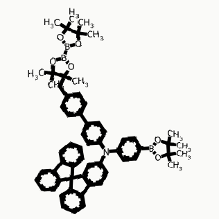 CC1(C)OB(B2OC(C)(C)C(C)(Cc3ccc(-c4ccc(N(c5ccc(B6OC(C)(C)C(C)(C)O6)cc5)c5ccc6c(c5)C5(c7ccccc7-c7ccccc75)c5ccccc5-6)cc4)cc3)O2)OC1(C)C